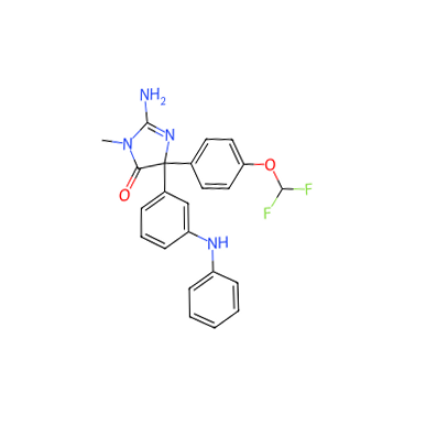 CN1C(=O)C(c2ccc(OC(F)F)cc2)(c2cccc(Nc3ccccc3)c2)N=C1N